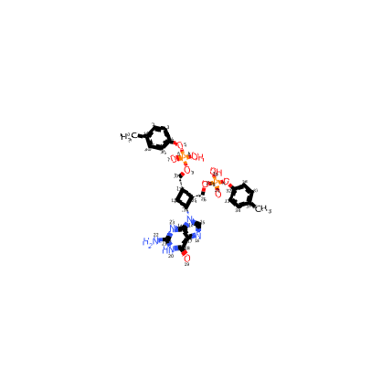 Cc1ccc(OP(=O)(O)OC[C@H]2C[C@@H](n3cnc4c(=O)[nH]c(N)nc43)[C@H]2COP(=O)(O)Oc2ccc(C)cc2)cc1